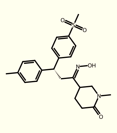 Cc1ccc([C@@H](CC(=NO)C2CCC(=O)N(C)C2)c2ccc(S(C)(=O)=O)cc2)cc1